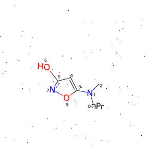 CCCN(C)c1cc(O)no1